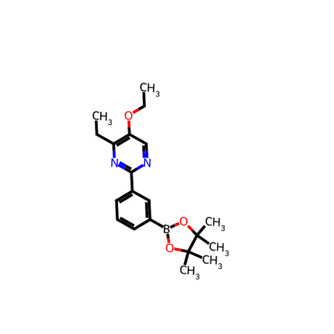 CCOc1cnc(-c2cccc(B3OC(C)(C)C(C)(C)O3)c2)nc1CC